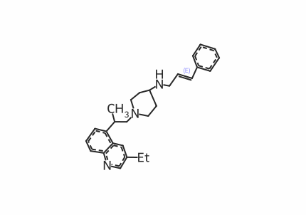 CCc1cnc2cccc(C(C)CN3CCC(NC/C=C/c4ccccc4)CC3)c2c1